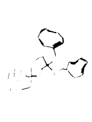 CCC1(C)OCC(Oc2ccccc2)(Oc2ccccc2)O1